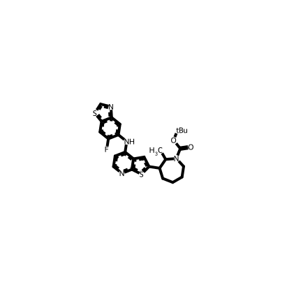 CC1C(c2cc3c(Nc4cc5ncsc5cc4F)ccnc3s2)CCCCN1C(=O)OC(C)(C)C